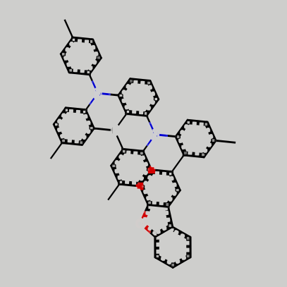 Cc1ccc(N2c3ccc(C)cc3B3c4cc(C)ccc4N(c4ccc(C)cc4-c4ccc5oc6ccccc6c5c4)c4cccc2c43)cc1